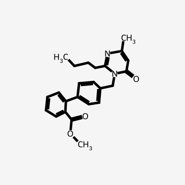 CCCCc1nc(C)cc(=O)n1Cc1ccc(-c2ccccc2C(=O)OC)cc1